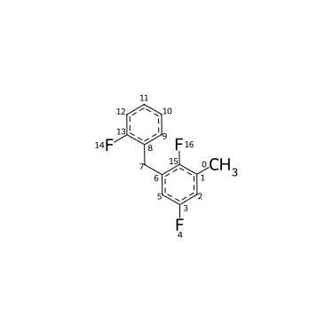 Cc1cc(F)cc(Cc2ccccc2F)c1F